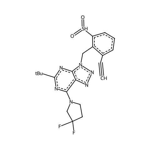 C#Cc1cccc([SH](=O)=O)c1Cn1nnc2c(N3CCC(F)(F)C3)nc(C(C)(C)C)nc21